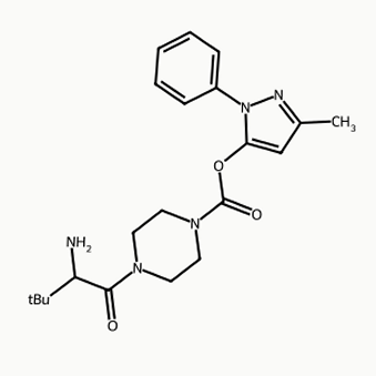 Cc1cc(OC(=O)N2CCN(C(=O)C(N)C(C)(C)C)CC2)n(-c2ccccc2)n1